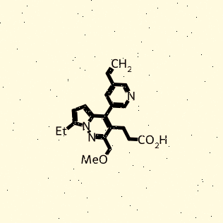 C=Cc1cncc(-c2c(CCC(=O)O)c(COC)nn3c(CC)ccc23)c1